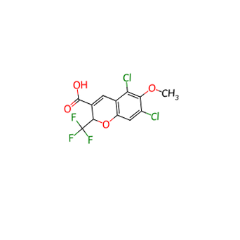 COc1c(Cl)cc2c(c1Cl)C=C(C(=O)O)C(C(F)(F)F)O2